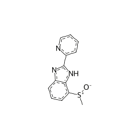 C[S+]([O-])c1cccc2nc(-c3ccccn3)[nH]c12